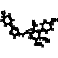 N#Cc1c(N)nc(SCc2csc(-c3ccc(Cl)cc3)n2)c(C#N)c1C1CCC(O)CC1